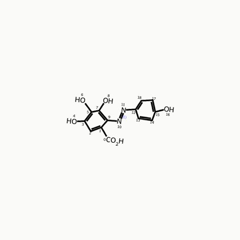 O=C(O)c1cc(O)c(O)c(O)c1/N=N/c1ccc(O)cc1